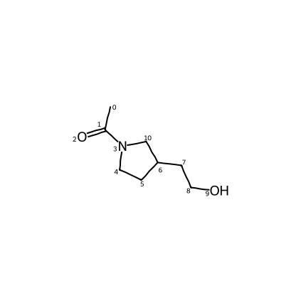 CC(=O)N1CCC(CCO)C1